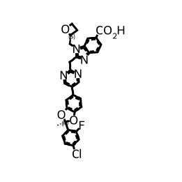 C[C@@]1(c2ccc(Cl)cc2F)Oc2ccc(-c3cnc(Cc4nc5ccc(C(=O)O)cc5n4C[C@@H]4CCO4)nc3)cc2O1